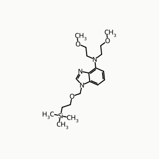 COCCN(CCOC)c1cccc2c1ncn2COCC[Si](C)(C)C